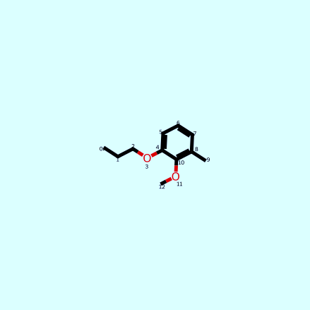 [CH2]CCOc1cccc(C)c1OC